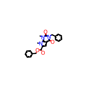 Cn1c(C(=O)OCc2ccccc2)cc2c(=O)n(Cc3ccccc3)c(=O)n(C)c21